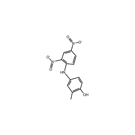 Cc1cc(Nc2ccc([N+](=O)[O-])cc2[N+](=O)[O-])ccc1O